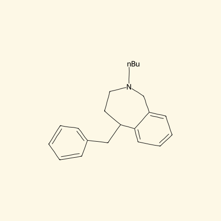 CCCCN1CCC(Cc2ccccc2)c2ccccc2C1